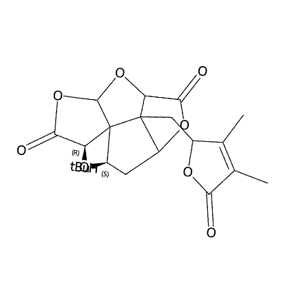 CC1=C(C)C(CC23C4C[C@@H](C(C)(C)C)C25C(OC(=O)[C@@H]5O)OC3C(=O)O4)OC1=O